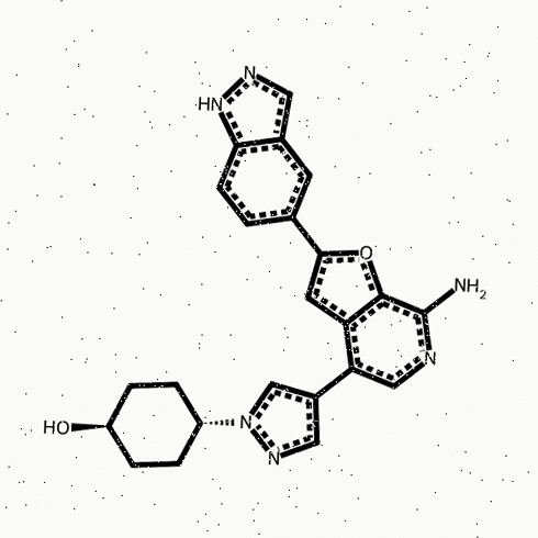 Nc1ncc(-c2cnn([C@H]3CC[C@H](O)CC3)c2)c2cc(-c3ccc4[nH]ncc4c3)oc12